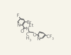 CCN(C(=O)c1ncc(F)cc1Br)[C@@H](C)COc1ccc(C(F)(F)F)cn1